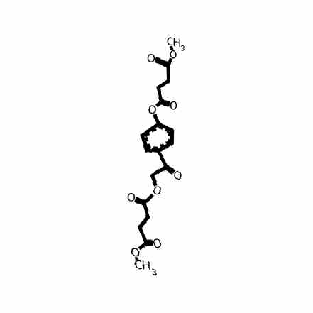 COC(=O)CCC(=O)OCC(=O)c1ccc(OC(=O)CCC(=O)OC)cc1